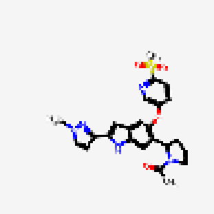 CC(=O)N1CCCC1c1cc2[nH]c(-c3ccn(C)n3)cc2cc1Oc1ccc(S(C)(=O)=O)nc1